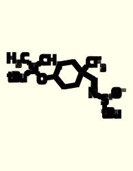 CC(C)(C)[S+]([O-])N=CC1(C(F)(F)F)CCC(O[Si](C)(C)C(C)(C)C)CC1